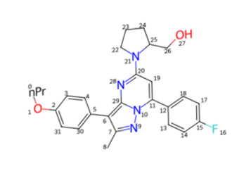 CCCOc1ccc(-c2c(C)nn3c(-c4ccc(F)cc4)cc(N4CCCC4CO)nc23)cc1